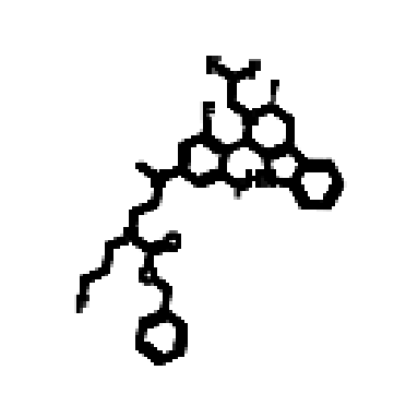 C[C@@H]1Cc2c([nH]c3ccccc23)[C@@H](c2c(F)cc(N(C)CCN(CCCF)C(=O)OCc3ccccc3)cc2F)N1CC(F)F